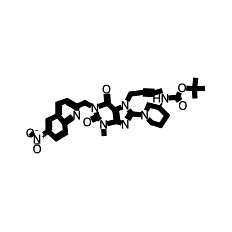 CC#CCn1c(N2CCC[C@@H](NC(=O)OC(C)(C)C)C2)nc2c1c(=O)n(Cc1ccc3cc([N+](=O)[O-])ccc3n1)c(=O)n2C